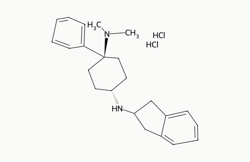 CN(C)[C@]1(c2ccccc2)CC[C@@H](NC2Cc3ccccc3C2)CC1.Cl.Cl